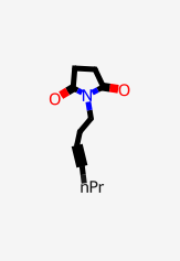 CCCC#CCCN1C(=O)CCC1=O